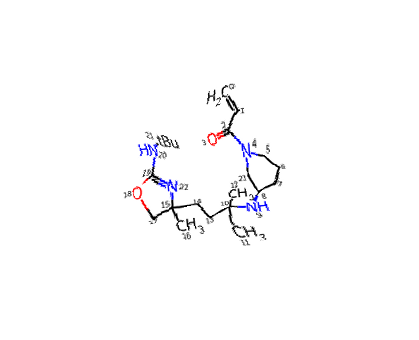 C=CC(=O)N1CCC[C@@H](NC(C)(C)CCC2(C)COC(NC(C)(C)C)=N2)C1